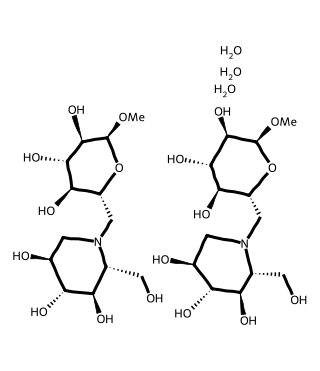 CO[C@H]1O[C@H](CN2C[C@H](O)[C@@H](O)[C@H](O)[C@H]2CO)[C@@H](O)[C@H](O)[C@H]1O.CO[C@H]1O[C@H](CN2C[C@H](O)[C@@H](O)[C@H](O)[C@H]2CO)[C@@H](O)[C@H](O)[C@H]1O.O.O.O